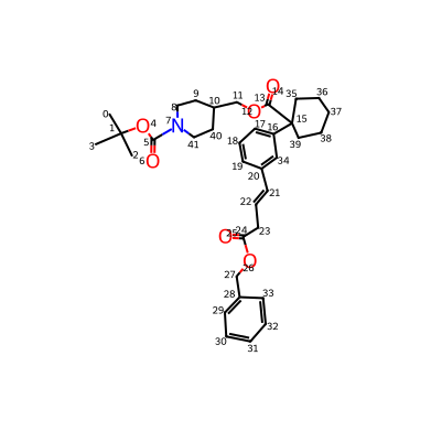 CC(C)(C)OC(=O)N1CCC(COC(=O)C2(c3cccc(C=CCC(=O)OCc4ccccc4)c3)CCCCC2)CC1